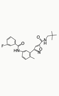 Cc1ccc(NC(=O)c2cccc(F)c2)cc1-c1cc(C(=O)NCC(C)(C)C)on1